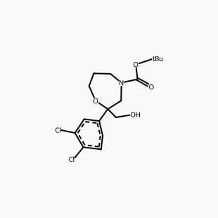 CC(C)(C)OC(=O)N1CCCOC(CO)(c2ccc(Cl)c(Cl)c2)C1